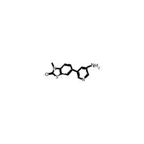 Cn1c(=O)sc2cc(-c3cncc(N)c3)ccc21